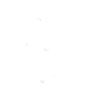 CC(NCCS(N)(=O)=O)C1=CNCc2cc(F)c(F)cc21